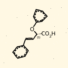 O=C(O)[C@H](C=Cc1ccccc1)Oc1ccccc1